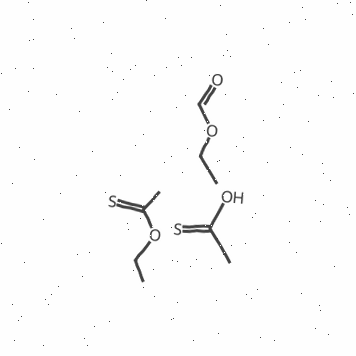 CC(O)=S.CCOC(C)=S.CCOC=O